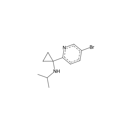 CC(C)NC1(c2ccc(Br)cn2)CC1